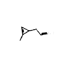 N=CCC1C=C1I